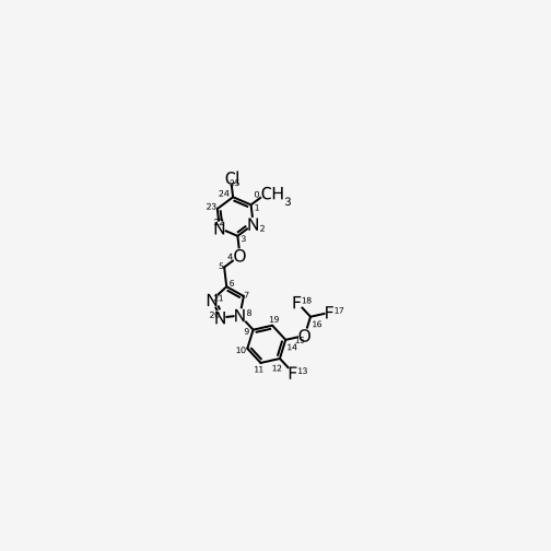 Cc1nc(OCc2cn(-c3ccc(F)c(OC(F)F)c3)nn2)ncc1Cl